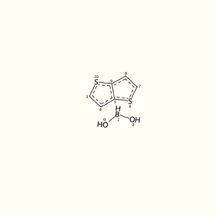 OBO.c1cc2sccc2s1